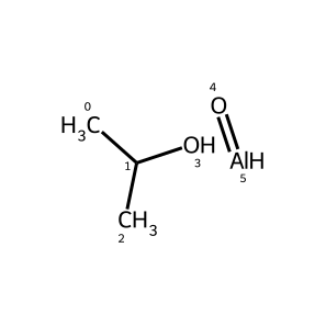 CC(C)O.[O]=[AlH]